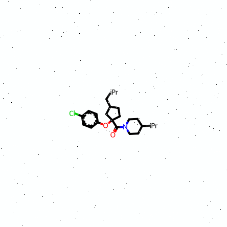 CC(C)CC1CCC(Oc2ccc(Cl)cc2)(C(=O)N2CCC(C(C)C)CC2)C1